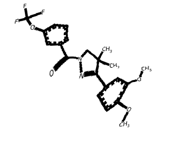 COc1ccc(C2=NN(C(=O)c3cccc(OC(F)(F)F)c3)CC2(C)C)cc1OC